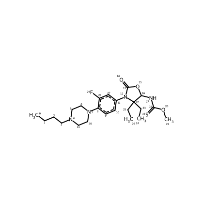 CCCCN1CCN(c2ccc(N3C(=O)OC(NC(=S)OC)C3(CC)CC)cc2F)CC1